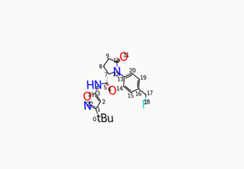 CC(C)(C)c1cc(NC(=O)[C@@H]2CCC(=O)N2c2ccc(CF)cc2)on1